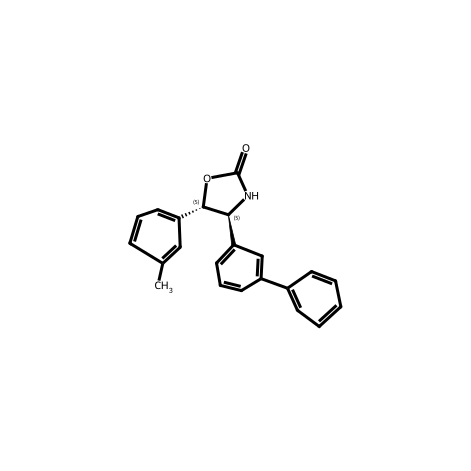 Cc1cccc([C@@H]2OC(=O)N[C@H]2c2cccc(-c3ccccc3)c2)c1